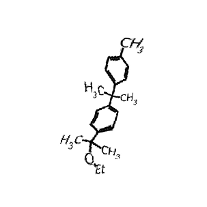 CCOC(C)(C)c1ccc(C(C)(C)c2ccc(C)cc2)cc1